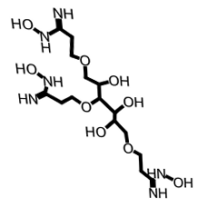 N=C(CCOCC(O)C(O)C(OCCC(=N)NO)C(O)COCCC(=N)NO)NO